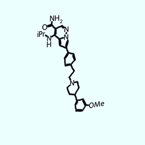 COc1cccc(C2CCN(CCc3ccc(-c4cc5c(NC(C)C)c(C(N)=O)cnn5c4)cc3)CC2)c1